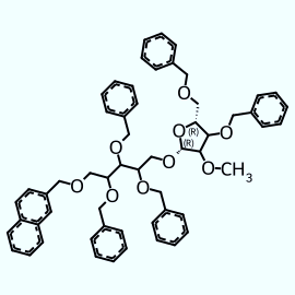 COC1C(OCc2ccccc2)[C@@H](COCc2ccccc2)O[C@H]1OCC(OCc1ccccc1)C(OCc1ccccc1)C(COCc1ccc2ccccc2c1)OCc1ccccc1